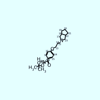 CC(C)(C)ONC(=O)c1ccc(OCCCN2CC3CCCC3C2)cc1